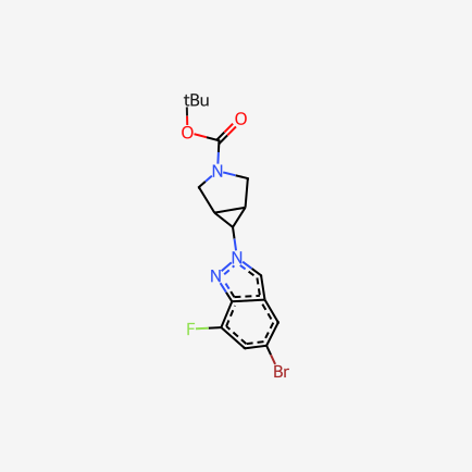 CC(C)(C)OC(=O)N1CC2C(C1)C2n1cc2cc(Br)cc(F)c2n1